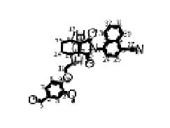 COc1cc(C=O)ccc1OCC[C@@]12CC[C@@](C)(O1)[C@H]1C(=O)N(c3ccc(C#N)c4ccccc34)C(=O)[C@H]12